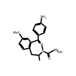 CCCNC(=O)N1N=C(c2ccc(N)cc2)c2cc(SC)ccc2CC1C